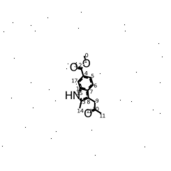 COC(=O)c1ccc2c(CC(C)=O)c(C)[nH]c2c1